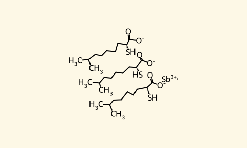 CC(C)CCCCC[C@H](S)C(=O)[O-].CC(C)CCCCC[C@H](S)C(=O)[O-].CC(C)CCCCC[C@H](S)C(=O)[O-].[Sb+3]